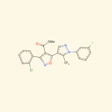 COC(=O)c1c(-c2ccccc2Cl)noc1-c1cnn(-c2cccc(F)c2)c1C(F)(F)F